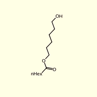 CCCCCCC(=O)OCCCCCCO